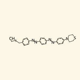 CCCCc1ccc(N=Nc2ccc(N=Nc3ccc(N4CCSCC4)cc3)cc2)cc1